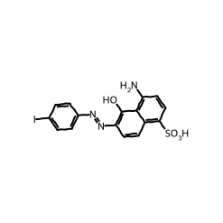 Nc1ccc(S(=O)(=O)O)c2ccc(N=Nc3ccc(I)cc3)c(O)c12